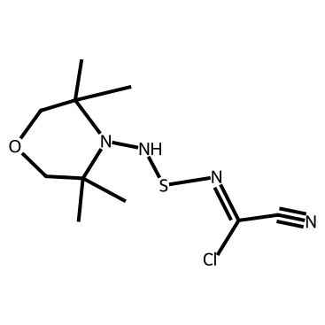 CC1(C)COCC(C)(C)N1NSN=C(Cl)C#N